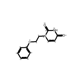 O=c1ccn(CCOc2[c]cccc2)c(=O)[nH]1